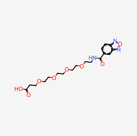 O=C(O)CCOCCOCCOCCOCCNC(=O)c1ccc2nonc2c1